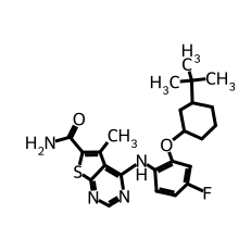 Cc1c(C(N)=O)sc2ncnc(Nc3ccc(F)cc3OC3CCCC(C(C)(C)C)C3)c12